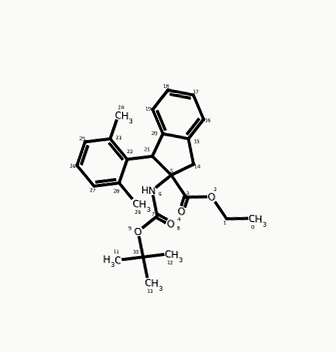 CCOC(=O)C1(NC(=O)OC(C)(C)C)Cc2ccccc2C1c1c(C)cccc1C